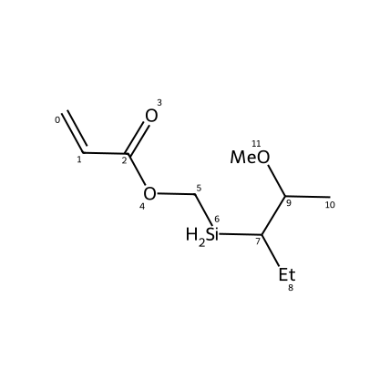 C=CC(=O)OC[SiH2]C(CC)C(C)OC